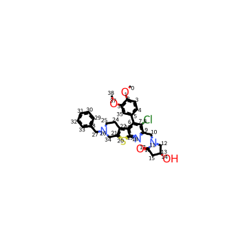 COc1ccc(-c2c(Cl)c(CN3CC(O)CC3=O)nc3sc4c(c23)CCN(Cc2ccccc2)C4)cc1OC